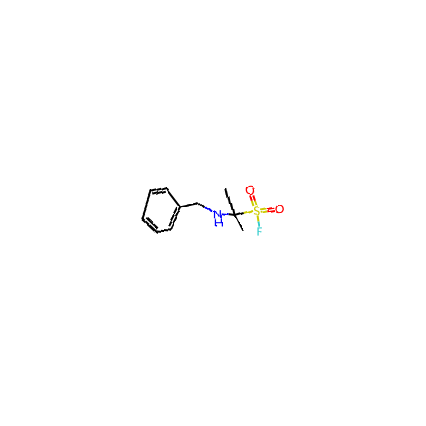 CC(C)(NCc1ccccc1)S(=O)(=O)F